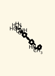 C[C@@H](NCc1ccc(C#Cc2ccc(C(=O)N[C@@H](CN)C(=O)NO)cc2)cc1)c1ccccc1